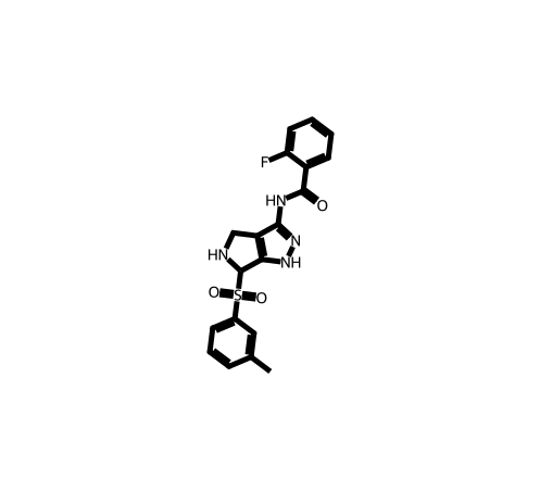 Cc1cccc(S(=O)(=O)C2NCc3c(NC(=O)c4ccccc4F)n[nH]c32)c1